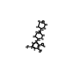 COc1c(F)cc(F)cc1C1CCN(C2CCOCC2)CC1